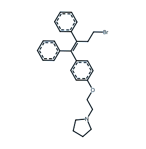 BrCC/C(=C(/c1ccccc1)c1ccc(OCCN2CCCC2)cc1)c1ccccc1